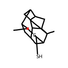 CC1CCC(S)C2CC3CC1C1CC45C1CC(C34)C25C